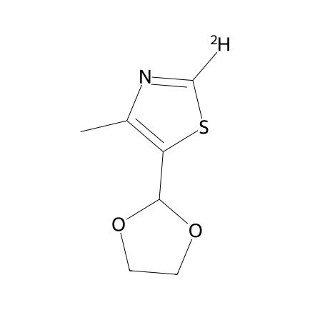 [2H]c1nc(C)c(C2OCCO2)s1